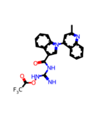 Cc1cc(-n2cc(C(=O)NC(=N)NOC(=O)C(F)(F)F)c3ccccc32)c2ccccc2n1